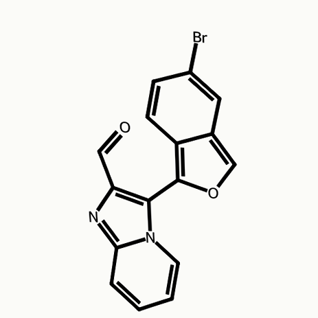 O=Cc1nc2ccccn2c1-c1occ2cc(Br)ccc12